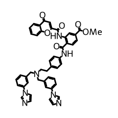 COC(=O)c1ccc(C(=O)Nc2ccc(CCN(Cc3cccc(-n4ccnc4)c3)Cc3cccc(-n4ccnc4)c3)cc2)c(NC(=O)c2cc(=O)c3ccccc3o2)c1